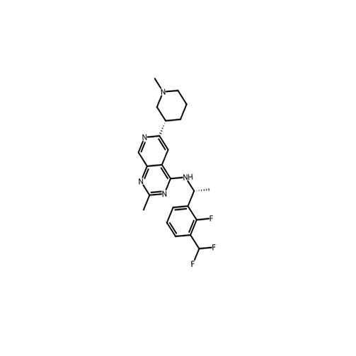 Cc1nc(N[C@H](C)c2cccc(C(F)F)c2F)c2cc([C@H]3CCCN(C)C3)ncc2n1